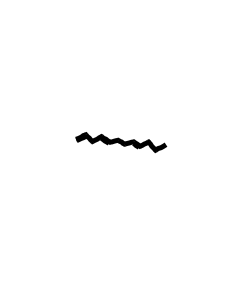 C=CC/C=C/CC/C=C/CCC